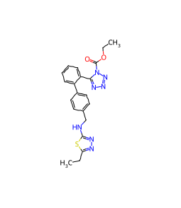 CCOC(=O)n1nnnc1-c1ccccc1-c1ccc(CNc2nnc(CC)s2)cc1